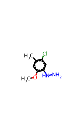 COc1cc(C)c(Cl)cc1NN